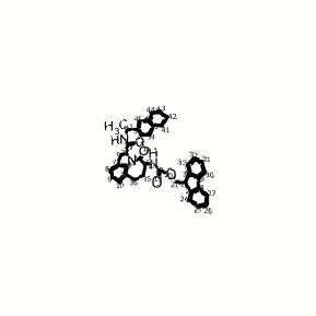 CC(NC(=O)C1Cc2cccc3c2N1C(=O)C(NC(=O)OCC1c2ccccc2-c2ccccc21)CC3)c1ccc2ccccc2c1